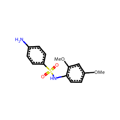 COc1ccc(NS(=O)(=O)c2ccc(N)cc2)c(OC)c1